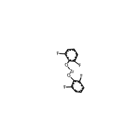 Fc1cccc(F)c1[O][Zr][O]c1c(F)cccc1F